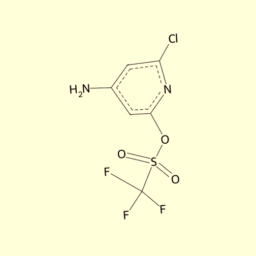 Nc1cc(Cl)nc(OS(=O)(=O)C(F)(F)F)c1